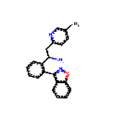 Cc1ccc(CC(N)c2ccccc2-c2noc3ccccc23)nc1